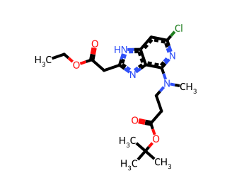 CCOC(=O)Cc1nc2c(N(C)CCC(=O)OC(C)(C)C)nc(Cl)cc2[nH]1